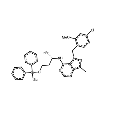 CCC[C@@H](CCO[Si](c1ccccc1)(c1ccccc1)C(C)(C)C)Nc1n[c]nc2c(I)nn(Cc3cnc(Cl)cc3OC)c12